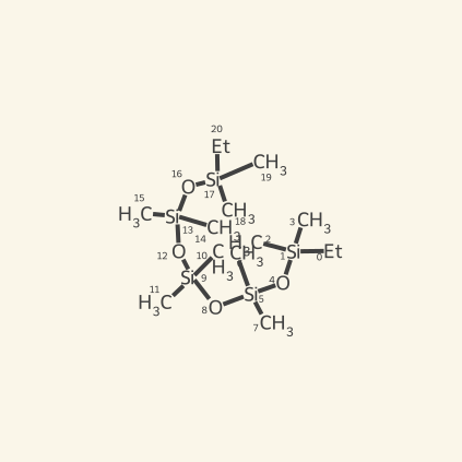 CC[Si](C)(C)O[Si](C)(C)O[Si](C)(C)O[Si](C)(C)O[Si](C)(C)CC